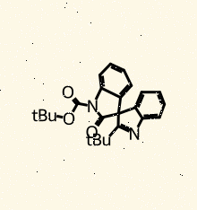 CC(C)(C)OC(=O)N1C(=O)C2(C(C(C)(C)C)=Nc3ccccc32)c2ccccc21